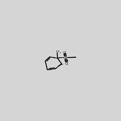 CS(=O)(=O)C1(C(F)(F)F)[CH]C=CC=C1